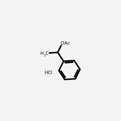 CC(=O)OC(C)c1ccccc1.Cl